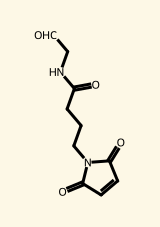 O=CCNC(=O)CCCN1C(=O)C=CC1=O